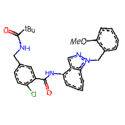 COc1ccccc1Cn1ncc2c(NC(=O)c3cc(CNC(=O)C(C)(C)C)ccc3Cl)cccc21